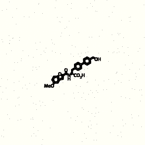 COc1ccc2oc(C(=O)N[C@@H](Cc3ccc(-c4ccc(CO)cc4)cc3)C(=O)O)cc2c1